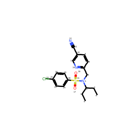 CCC(CC)N(Cc1ccc(C#N)cn1)S(=O)(=O)c1ccc(Cl)cc1